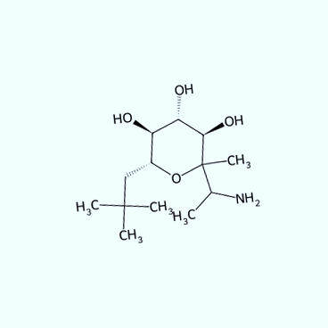 CC(N)C1(C)O[C@H](CC(C)(C)C)[C@@H](O)[C@H](O)[C@H]1O